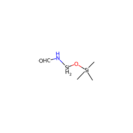 C[Si](C)(C)O[SiH2]N[C]=O